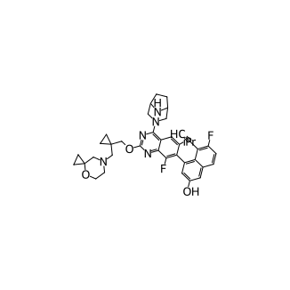 C#Cc1c(F)ccc2cc(O)cc(-c3c(C(C)C)cc4c(N5CC6CCC(C5)N6)nc(OCC5(CN6CCOC7(CC7)C6)CC5)nc4c3F)c12